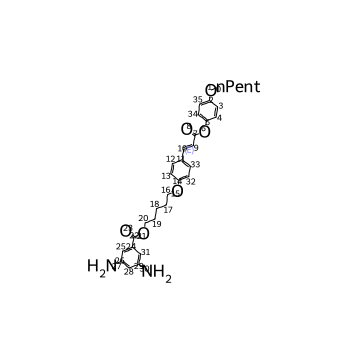 CCCCCOc1ccc(OC(=O)/C=C/c2ccc(OCCCCCOC(=O)c3cc(N)cc(N)c3)cc2)cc1